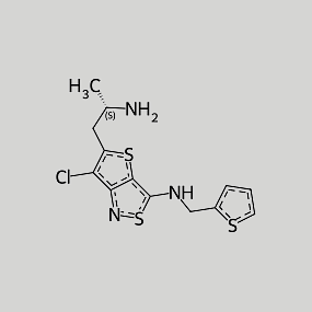 C[C@H](N)Cc1sc2c(NCc3cccs3)snc2c1Cl